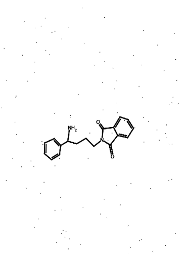 NC(CCCN1C(=O)c2ccccc2C1=O)c1ccccc1